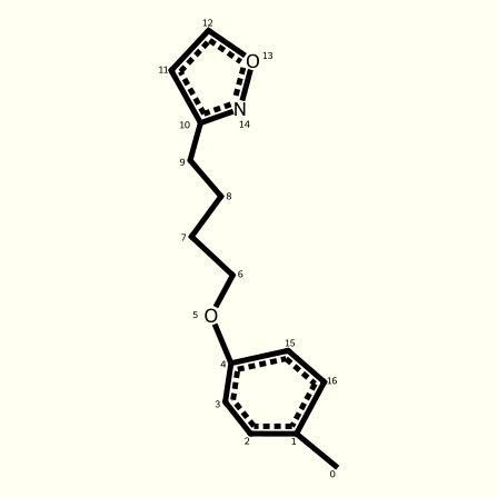 Cc1ccc(OCCCCc2ccon2)cc1